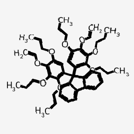 C=COc1c(OCCC)cc(C2(c3cc(OCCC)c(OC=C)c(OCCC)c3OCCC)c3ccccc3-c3ccccc32)c(OCCC)c1OCCC